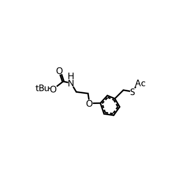 CC(=O)SCc1cccc(OCCNC(=O)OC(C)(C)C)c1